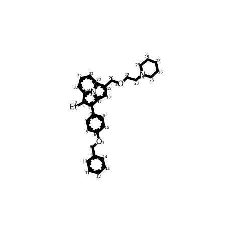 CCc1c(-c2ccc(OCc3ccccc3)cc2)c2cc(COCCN3CCCCC3)c3cccc1n32